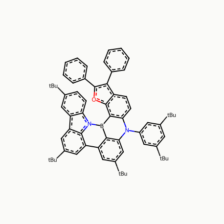 CC(C)(C)c1cc(N2c3cc(C(C)(C)C)cc4c3B(c3c2ccc2c(-c5ccccc5)c(-c5ccccc5)oc32)n2c3ccc(C(C)(C)C)cc3c3cc(C(C)(C)C)cc-4c32)cc(C(C)(C)C)c1